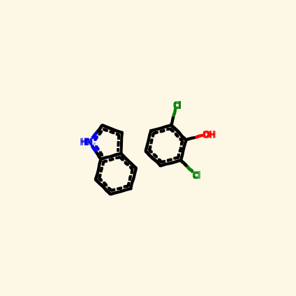 Oc1c(Cl)cccc1Cl.c1ccc2[nH]ccc2c1